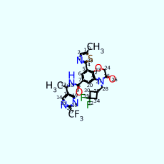 Cc1cnc(-c2cc(C(=O)N[C@H](C)c3cnc(C(F)(F)F)nc3)cc3c2OCC(=O)N3CC2CC(F)(F)C2)s1